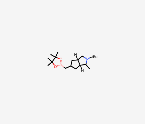 CC1[C@@H]2CC(CB3OC(C)(C)C(C)(C)O3)C[C@@H]2CN1C(C)(C)C